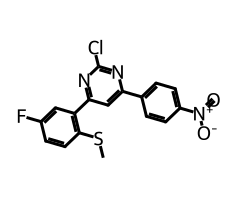 CSc1ccc(F)cc1-c1cc(-c2ccc([N+](=O)[O-])cc2)nc(Cl)n1